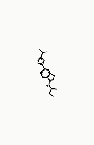 CCC(=O)N[C@@H]1CCc2cc(-c3noc(C(F)F)n3)ccc21